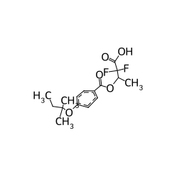 CCC(C)(C)Oc1ccc(C(=O)OC(C)C(F)(F)C(=O)O)cc1